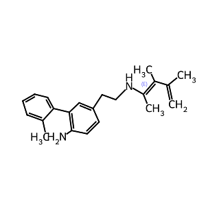 C=C(C)/C(C)=C(\C)NCCc1ccc(N)c(-c2ccccc2C)c1